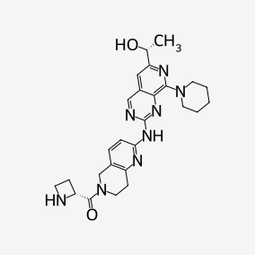 C[C@@H](O)c1cc2cnc(Nc3ccc4c(n3)CCN(C(=O)[C@H]3CCN3)C4)nc2c(N2CCCCC2)n1